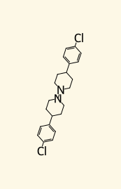 Clc1ccc(C2CCN(N3CCC(c4ccc(Cl)cc4)CC3)CC2)cc1